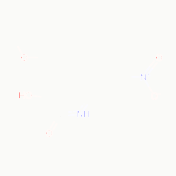 COCc1c(O)c(=O)[nH]c2cc([N+](=O)[O-])ccc12